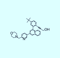 CC(C)(C)c1ccc(C#CCO)c(-c2cc(-c3ccc(CN4CCOCC4)nc3)cc3ccccc23)c1